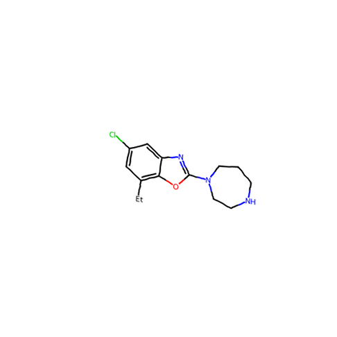 CCc1cc(Cl)cc2nc(N3CCCNCC3)oc12